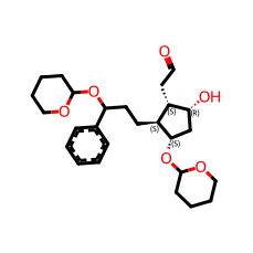 O=CC[C@H]1[C@H](CCC(OC2CCCCO2)c2ccccc2)[C@@H](OC2CCCCO2)C[C@H]1O